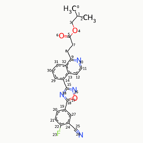 CC(C)COC(=O)CCc1nccc2c(-c3noc(-c4ccc(F)c(C#N)c4)n3)cccc12